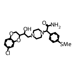 CSc1ccc(C(C(N)=O)N2CCN(CC(O)C3COc4ccc(Cl)cc4O3)CC2)cc1